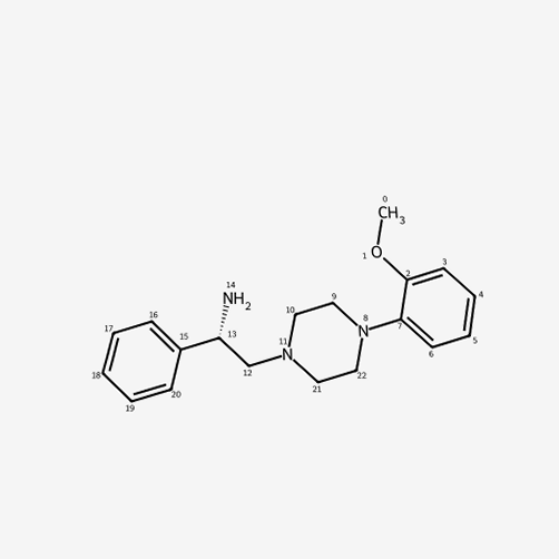 COc1ccccc1N1CCN(C[C@@H](N)c2ccccc2)CC1